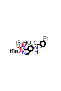 CCc1ccc(F)c(C(Nc2ccc3c(N(OC(C)(C)C)C(=O)OC(C)(C)C)nccc3c2)C(=O)O)c1